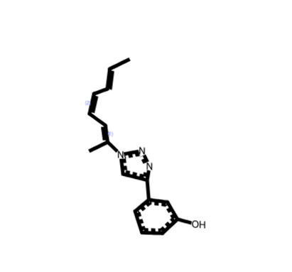 CC=C/C=C\C=C(/C)n1cc(-c2cccc(O)c2)nn1